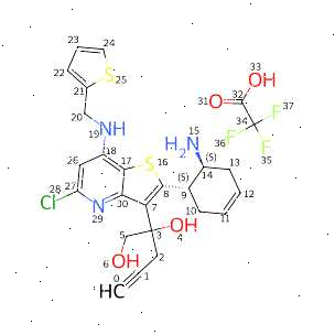 C#CCC(O)(CO)c1c([C@H]2CC=CC[C@@H]2N)sc2c(NCc3cccs3)cc(Cl)nc12.O=C(O)C(F)(F)F